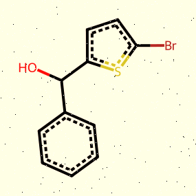 OC(c1ccccc1)c1ccc(Br)s1